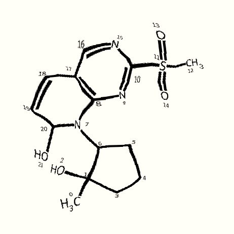 CC1(O)CCCC1N1c2nc(S(C)(=O)=O)ncc2C=CC1O